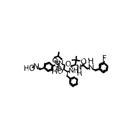 CC(C)CN(C[C@@H](O)[C@H](Cc1ccccc1)NC(=O)[C@@H](NC(=O)CNCc1cccc(F)c1)C(C)(C)C)S(=O)(=O)c1ccc(/C=N/O)cc1